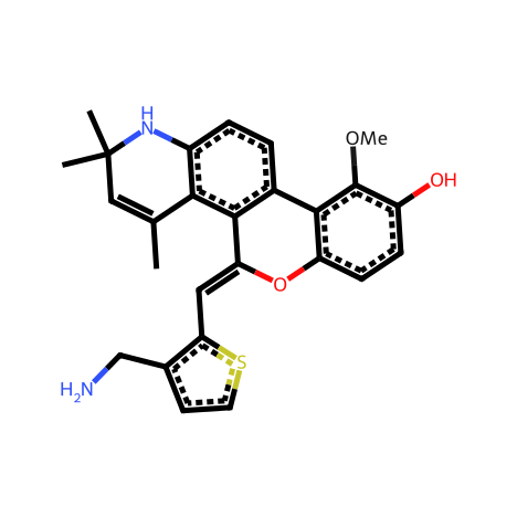 COc1c(O)ccc2c1-c1ccc3c(c1/C(=C/c1sccc1CN)O2)C(C)=CC(C)(C)N3